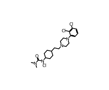 CN(C)C(=O)N(Cl)C1CCC(CCN2CCN(c3cccc(Cl)c3Cl)CC2)CC1